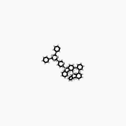 c1ccc(-c2nc(-c3ccccc3)nc(-c3ccc(-n4c5ccccc5c5c6c(ccc54)-c4ccccc4-c4cccc5c7ccccc7n-6c45)nc3)n2)cc1